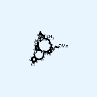 COCCO[C@H]1/C=C/C[C@H](C)C(CC2CC2)S(=O)(=O)NC(=O)c2ccc3c(c2)N(CCCCc2cc(Cl)ccc2CO3)C[C@@H]2CC[C@H]21